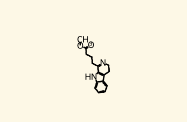 COC(=O)CCCC1=NCCc2c1[nH]c1ccccc21